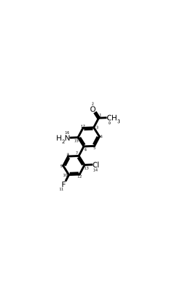 CC(=O)c1ccc(-c2ccc(F)cc2Cl)c(N)c1